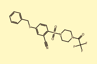 N#Cc1cc(SCc2ccccc2)ccc1S(=O)(=O)N1CCN(C(=O)C(F)(F)F)CC1